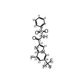 O=C(NS(=O)(=O)c1ccccc1)c1cn2cc(C(F)(F)F)cc(F)c2n1